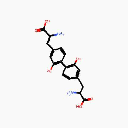 NC(Cc1ccc(-c2ccc(CC(N)C(=O)O)cc2O)c(O)c1)C(=O)O